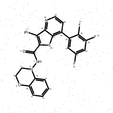 CC(C)c1c(C(=O)NN2CCOc3ccccc32)sc2c(-c3cc(F)cc(F)c3F)ccnc12